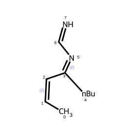 C/C=C\C(CCCC)=N/C=N